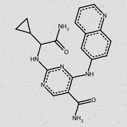 NC(=O)c1cnc(NC(C(N)=O)C2CC2)nc1Nc1ccc2ncccc2c1